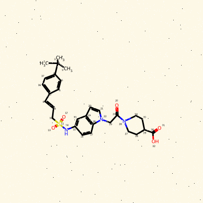 CC(C)(C)c1ccc(C=CCS(=O)(=O)Nc2ccc3c(ccn3CC(=O)N3CCC(C(=O)O)CC3)c2)cc1